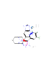 Cn1nc2c(c1-c1cc(F)c(F)c(F)c1)CC1CCCC2N1C(=O)c1cnc2c(c1)ncn2C